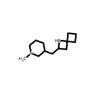 CN1CCCC(CC2CC3(CCC3)N2)C1